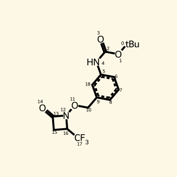 CC(C)(C)OC(=O)Nc1cccc(CON2C(=O)CC2C(F)(F)F)c1